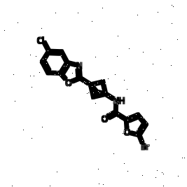 O=C(NC12CC(c3nc4cc(Cl)ccc4o3)(C1)C2)c1ccc(Br)o1